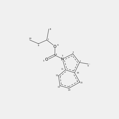 [CH2]c1cn(C(=O)OC(C)CC)c2ccccc12